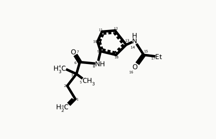 C=CCC(C)(C)C(=O)Nc1cccc(NC(=O)CC)c1